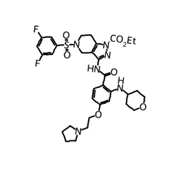 CCOC(=O)n1nc(NC(=O)c2ccc(OCCN3CCCC3)cc2NC2CCOCC2)c2c1CCN(S(=O)(=O)c1cc(F)cc(F)c1)C2